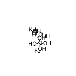 F.O.O[Si](O)(O)O.[AlH3].[Fe].[KH].[LiH]